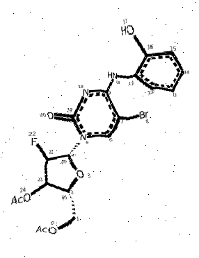 CC(=O)OC[C@H]1O[C@@H](n2cc(Br)c(Nc3ccccc3O)nc2=O)C(F)C1OC(C)=O